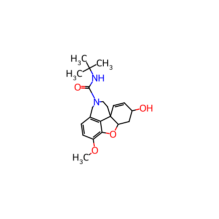 COc1ccc2c3c1OC1CC(O)C=CC31CCN(C(=O)NC(C)(C)C)C2